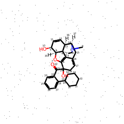 CN1CC[C@]23C4=C5O[C@H]2[C@@H](O)C=C[C@H]3[C@H]1CC4=CCC5(O)C(=O)c1ccccc1C1CCCCC1